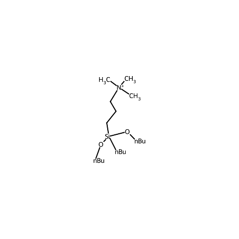 CCCCO[Si](CCCC)(CCC[N+](C)(C)C)OCCCC